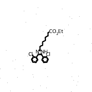 CCOC(=O)CCCCCCCc1nc(-c2ccccc2Cl)c(-c2ccccc2Cl)[nH]1